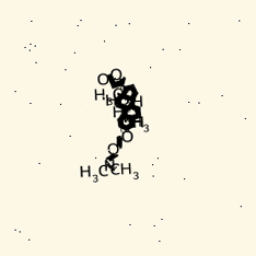 CN(C)CCOCCO[C@H]1CC[C@@]2(C)[C@H](CC[C@@H]3[C@@H]2CC[C@]2(C)[C@@H](C4=CC(=O)OC4)CC[C@]32O)C1